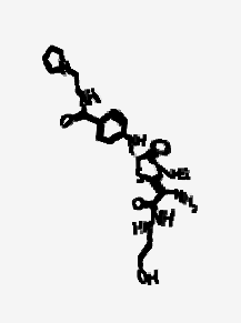 CCN1C(=O)[C@@H](CNc2ccc(C(=O)NCCN3CCCC3)cc2)S/C1=C(/N)C(=O)NNCCO